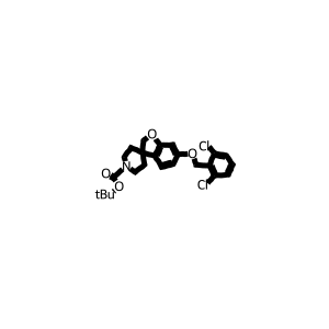 CC(C)(C)OC(=O)N1CCC2(CC1)COc1cc(OCc3c(Cl)cccc3Cl)ccc12